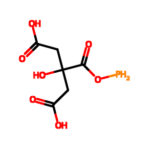 O=C(O)CC(O)(CC(=O)O)C(=O)OP